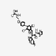 O=C(O)NCCOc1ccc(-c2cc(Cl)c3cn(C(C(=O)Nc4nccs4)c4ncn5c4C[C@@H](F)C5)nc3c2Cl)cc1